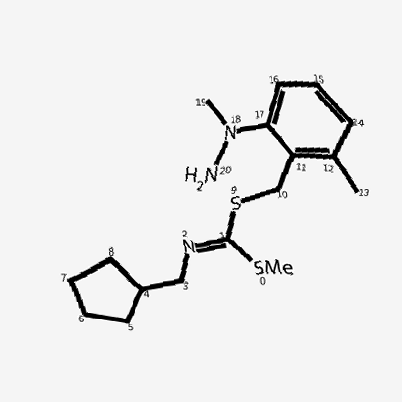 CS/C(=N\CC1CCCC1)SCc1c(C)cccc1N(C)N